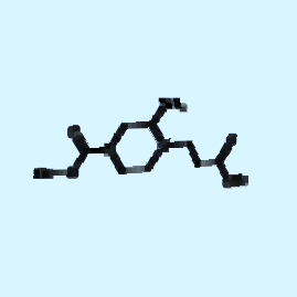 COC(=O)CCN1CCN(C(=O)OC(C)(C)C)CC1N